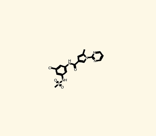 Cc1cc(C(=O)Nc2cc(Cl)cc(NS(C)(=O)=O)c2)cn1-c1ncccn1